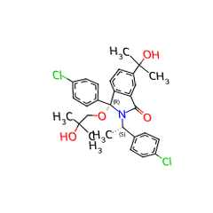 C[C@@H](c1ccc(Cl)cc1)N1C(=O)c2cc(C(C)(C)O)ccc2[C@]1(OCC(C)(C)O)c1ccc(Cl)cc1